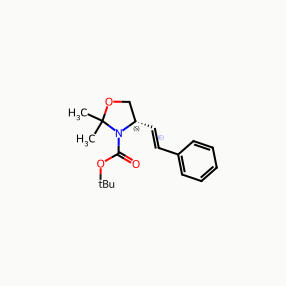 CC(C)(C)OC(=O)N1[C@@H](/C=C/c2ccccc2)COC1(C)C